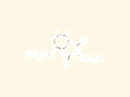 CCOC(=O)N1C(=O)c2cccc(CC(=O)O)c2C1=O